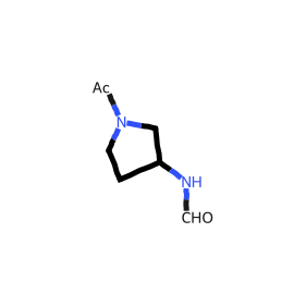 CC(=O)N1CCC(NC=O)C1